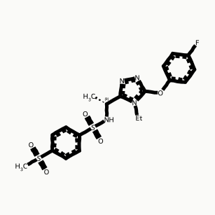 CCn1c(Oc2ccc(F)cc2)nnc1[C@@H](C)NS(=O)(=O)c1ccc(S(C)(=O)=O)cc1